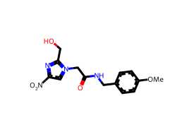 COc1ccc(CNC(=O)Cn2cc([N+](=O)[O-])nc2CO)cc1